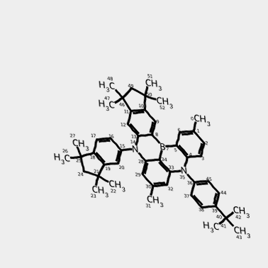 Cc1ccc2c(c1)B1c3cc4c(cc3N(c3ccc5c(c3)C(C)(C)CC5(C)C)c3cc(C)cc(c31)N2c1ccc(C(C)(C)C)cc1)C(C)(C)CC4(C)C